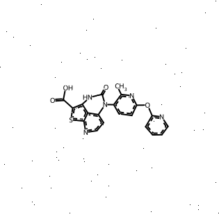 Cc1nc(Oc2ccccn2)ccc1N1C(=O)Nc2c(C(=O)O)sc3nccc1c23